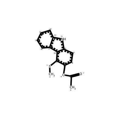 CSc1c(OC(C)=O)ccc2[nH]c3ccccc3c12